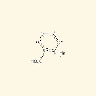 O=C(O)c1ccccc1.[He]